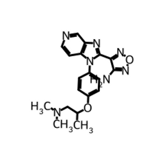 CC(CN(C)C)Oc1ccc(-n2c(-c3nonc3N)nc3cnccc32)cc1